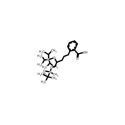 CC(C)[Si](OC(CCCc1ccccc1C(=O)O)CO[Si](C)(C)C(C)(C)C)(C(C)C)C(C)C